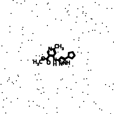 COC(=O)c1cnc(C)cc1Nc1cc(C2CCCC2)[nH]n1